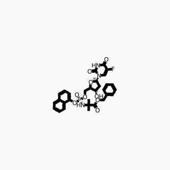 CC(C)(NP(=O)(OCC1O[C@@H](n2cc(F)c(=O)[nH]c2=O)C[C@H]1O)Oc1cccc2ccccc12)C(=O)OCc1ccccc1